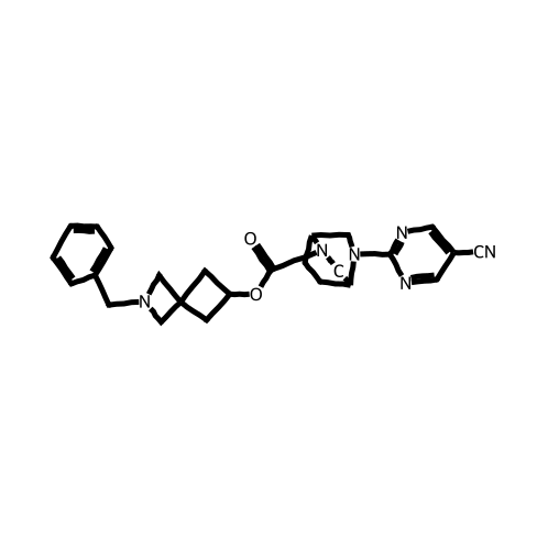 N#Cc1cnc(N2CC3CCC2CN3C(=O)OC2CC3(C2)CN(Cc2ccccc2)C3)nc1